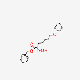 O=C(OCc1ccccc1)C(CCCCCOc1ccccc1)=NO